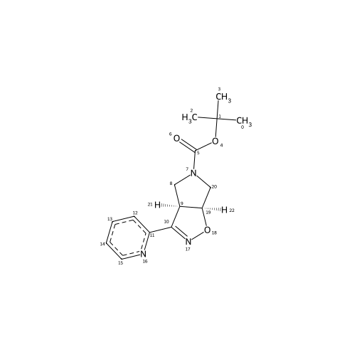 CC(C)(C)OC(=O)N1C[C@@H]2C(c3ccccn3)=NO[C@@H]2C1